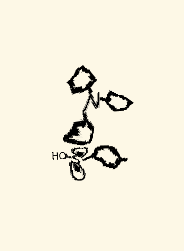 Cc1ccc(S(=O)(=O)O)cc1.c1ccc(N(c2ccccc2)c2ccccc2)cc1